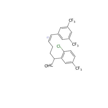 O=CC(CC/C=C\c1cc(C(F)(F)F)cc(C(F)(F)F)c1)c1cc(C(F)(F)F)ccc1Cl